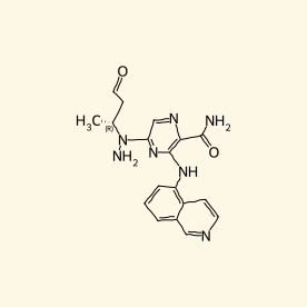 C[C@H](CC=O)N(N)c1cnc(C(N)=O)c(Nc2cccc3cnccc23)n1